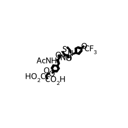 CC(=O)NC(=Cc1ccc(OC(=O)C(C(=O)O)C(=O)O)cc1)C(=O)N[C@H]1CSCCN(Cc2ccc(OC(F)(F)F)cc2)C1=O